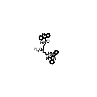 CN(CCCNC(=O)c1c2ccccc2nc2ccccc12)CCCNC(=O)c1c2ccccc2nc2c1[nH]c1ccccc12